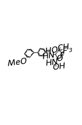 COc1cccc(-c2ccc(CNC(C(=O)NO)C(C)(O)C(F)F)cc2)c1